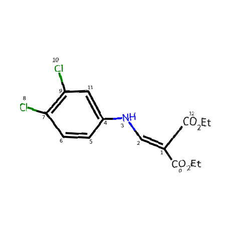 CCOC(=O)C(=CNc1ccc(Cl)c(Cl)c1)C(=O)OCC